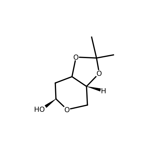 CC1(C)OC2C[C@H](O)OC[C@H]2O1